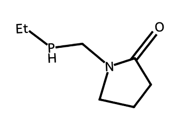 CCPCN1CCCC1=O